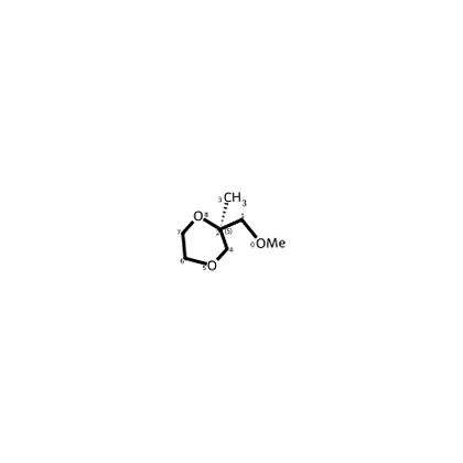 COC[C@@]1(C)COCCO1